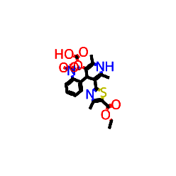 CCOC(=O)c1sc(C2=C(C)NC(C)=C(OC(=O)O)C2c2ccccc2[N+](=O)[O-])nc1C